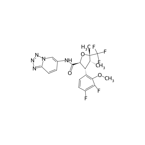 COc1c([C@@H]2[C@@H](C(=O)Nc3ccc4nnnn4c3)O[C@](C)(C(F)(F)F)[C@@H]2C)ccc(F)c1F